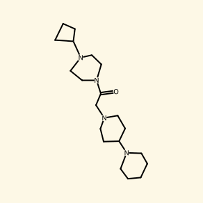 O=C(CN1CCC(N2CCCCC2)CC1)N1CCN(C2CCC2)CC1